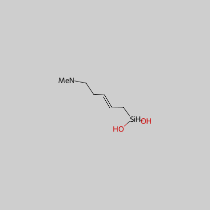 CNCCC=CC[SiH](O)O